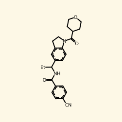 CCC(NC(=O)c1ccc(C#N)cc1)c1ccc2c(c1)CCN2C(=O)C1CCOCC1